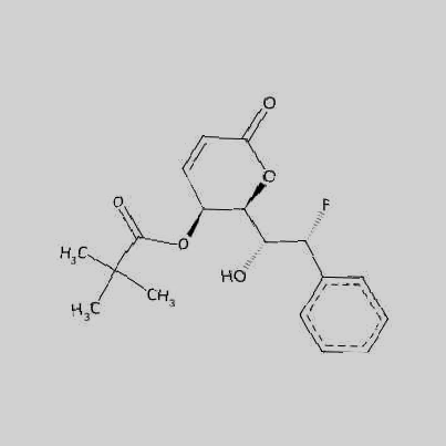 CC(C)(C)C(=O)O[C@H]1C=CC(=O)O[C@H]1[C@@H](O)[C@H](F)c1ccccc1